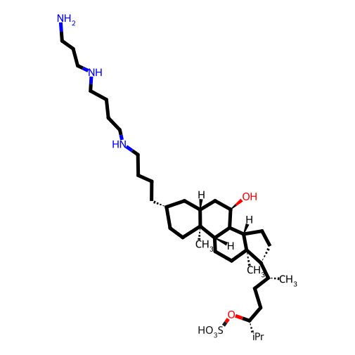 CC(C)[C@@H](CC[C@@H](C)[C@H]1CC[C@H]2C3[C@H](O)C[C@H]4C[C@@H](CCCCNCCCCNCCCN)CC[C@]4(C)[C@H]3CC[C@]12C)OS(=O)(=O)O